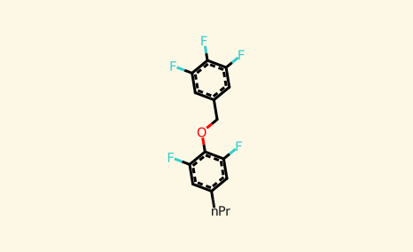 CCCc1cc(F)c(OCc2cc(F)c(F)c(F)c2)c(F)c1